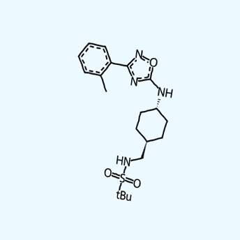 Cc1ccccc1-c1noc(N[C@H]2CC[C@H](CNS(=O)(=O)C(C)(C)C)CC2)n1